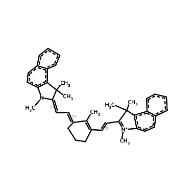 CC1=C(/C=C/C2=[N+](C)c3ccc4ccccc4c3C2(C)C)CCC/C1=C\C=C1\N(C)c2ccc3ccccc3c2C1(C)C